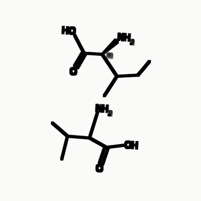 CC(C)C(N)C(=O)O.CCC(C)[C@H](N)C(=O)O